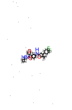 CC1(CNC(=O)C2(c3cccc(NC(=O)CC(C4CCC(F)(F)CC4)C4(C)CC4)c3)CCOC2)CCC1